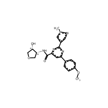 Cn1cc(-c2nc(C(=O)N[C@@H]3COC[C@@H]3O)cc(-c3ccc(OC(F)(F)F)cc3)n2)cn1